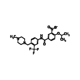 CC(C)Oc1ccc(C(=O)Nc2ccc(CN3CCN(C)CC3)c(C(F)(F)F)c2)cc1[N+](=O)[O-]